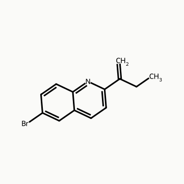 C=C(CC)c1ccc2cc(Br)ccc2n1